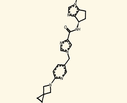 Cn1cnc2c1CC[C@H]2NC(=O)c1cn(Cc2ccc(N3CC4(CC4)C3)nc2)cn1